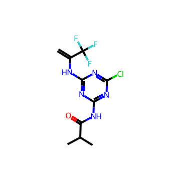 C=C(Nc1nc(Cl)nc(NC(=O)C(C)C)n1)C(F)(F)F